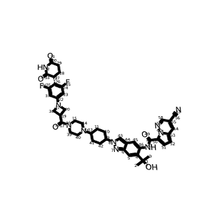 CC(C)(O)c1cc2nn(C3CCC(N4CCN(C(=O)C5CN(c6cc(F)c([C@H]7CCC(=O)NC7=O)c(F)c6)C5)CC4)CC3)cc2cc1NC(=O)c1ccc2cc(C#N)cnn12